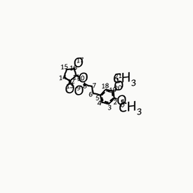 COc1ccc(CCC(=O)OC2C(=O)CCC2=O)cc1OC